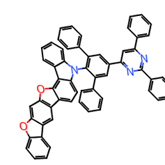 c1ccc(-c2cc(-c3cc(-c4ccccc4)c(-n4c5ccccc5c5c6oc7cc8oc9ccccc9c8cc7c6ccc54)c(-c4ccccc4)c3)nc(-c3ccccc3)n2)cc1